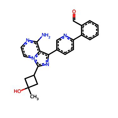 CC1(O)CC(c2nc(-c3ccc(-c4ccccc4C=O)nc3)c3c(N)nccn23)C1